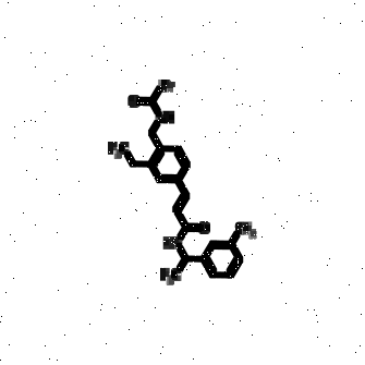 CC(C)C(=O)NCc1ccc(/C=C/C(=O)NC(c2cccc(C(F)(F)F)c2)C(F)(F)F)cc1CC(F)(F)F